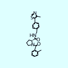 Cc1ccccc1C(=O)N1CCC[C@H]1C(=O)NCc1ccc(-c2scnc2C)cc1